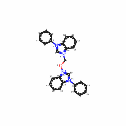 c1ccc(-n2c[n+](CO[n+]3cn(-c4ccccc4)c4ccccc43)c3ccccc32)cc1